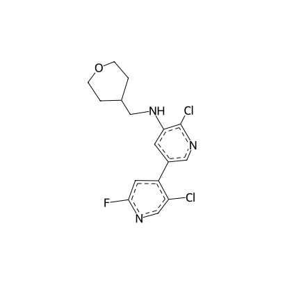 Fc1cc(-c2cnc(Cl)c(NCC3CCOCC3)c2)c(Cl)cn1